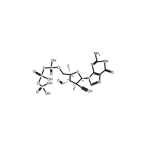 C#C[C@]1(F)[C@H](n2cnc3c(=O)[nH]c(N)nc32)O[C@](F)(COP(=O)(O)OP(=O)(O)OP(=O)(O)O)[C@H]1C=O